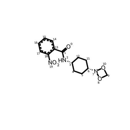 O=C(N[C@H]1CC[C@@H](N2OCO2)CC1)c1ccccc1[N+](=O)[O-]